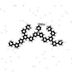 COc1ccc(-n2c3ccc(-c4cccc(-c5cc(-c6ccc(-c7cccc(-c8cccnc8)c7)cc6)cc(-c6cccc(-c7cccnc7)c6)c5)c4)cc3c3cc(-c4cccc(-c5cc(-c6cccc(-c7cccnc7)c6)cc(-c6cccc(-c7cccnc7)c6)c5)c4)ccc32)cc1